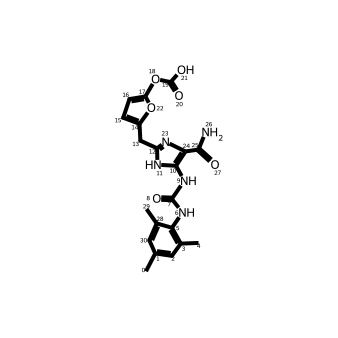 Cc1cc(C)c(NC(=O)Nc2[nH]c(Cc3ccc(OC(=O)O)o3)nc2C(N)=O)c(C)c1